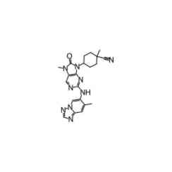 Cc1cc2ncnn2cc1Nc1ncc2c(n1)n(C1CCC(C)(C#N)CC1)c(=O)n2C